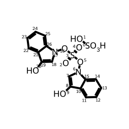 O=S(=O)(O)O.O=S(=O)(On1cc(O)c2ccccc21)On1cc(O)c2ccccc21